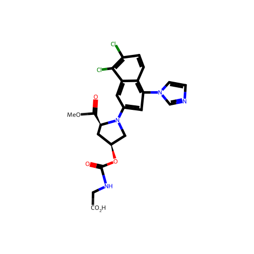 COC(=O)[C@@H]1C[C@H](OC(=O)NCC(=O)O)CN1c1cc(-n2ccnc2)c2ccc(Cl)c(Cl)c2c1